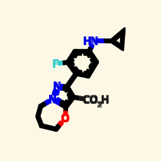 O=C(O)c1c(-c2ccc(NC3CC3)cc2F)nn2c1OCCCC2